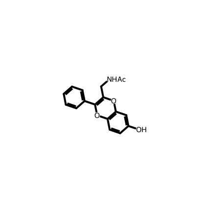 CC(=O)NCC1=C(c2ccccc2)Oc2ccc(O)cc2O1